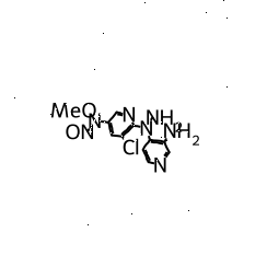 CON(N=O)c1cnc(N(N)c2ccncc2N)c(Cl)c1